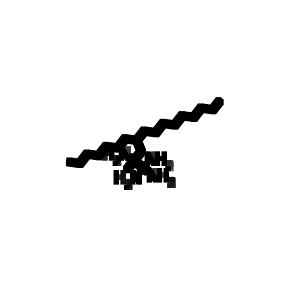 CCCCCCCCCC(CCCCCCC)CC(C)(N)C(N)(N)N